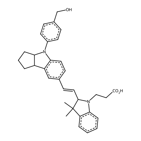 CC1(C)c2ccccc2N(CCC(=O)O)C1/C=C/c1ccc2c(c1)C1CCCC1N2c1ccc(CO)cc1